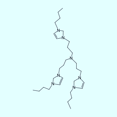 CCCCN1C=CN(CCCN(CCCN2C=CN(CCCC)C2)CCCN2C=CN(CCCC)C2)C1